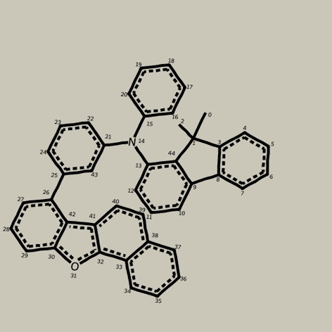 CC1(C)c2ccccc2-c2cccc(N(c3ccccc3)c3cccc(-c4cccc5oc6c7ccccc7ccc6c45)c3)c21